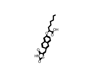 CCCCCCC(Oc1ccc2cc(/C=C3/SC(=O)NC3=O)ccc2c1)C(=O)O